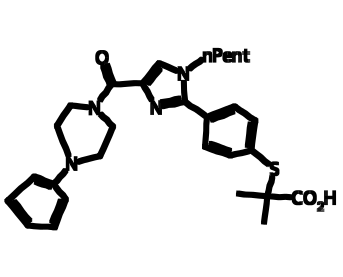 CCCCCn1cc(C(=O)N2CCN(c3ccccc3)CC2)nc1-c1ccc(SC(C)(C)C(=O)O)cc1